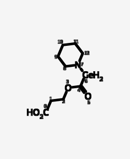 O=C(O)CCO[C](=O)[GeH2][N]1CCCCC1